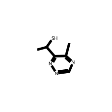 Cc1ncnnc1C(C)S